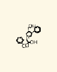 O=C(O)[C@H](c1ccccc1Cl)N1C[C@H](CO)[C@@H](c2ccccc2)C1